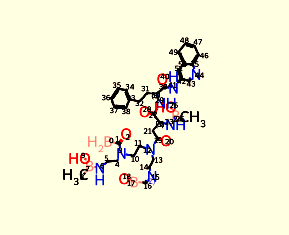 BC(=O)N(CCNB(C)O)CCN(CC/N=C\B=O)C(=O)C[C@H](NB(C)O)C(=O)N[C@@H](CCc1ccccc1)C(=O)Nc1cnc2ccccc2c1